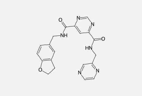 O=C(NCc1ccc2c(c1)CCO2)c1cc(C(=O)NCc2cnccn2)ncn1